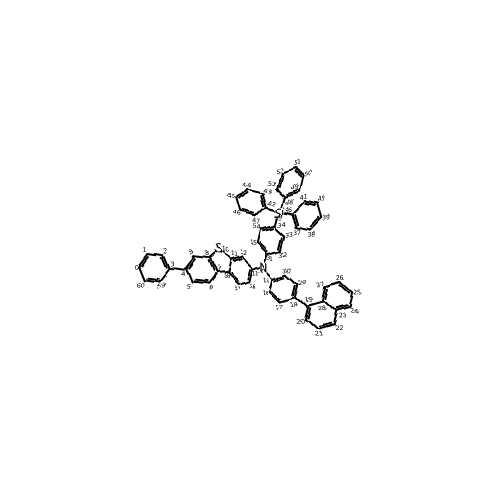 c1ccc(-c2ccc3c(c2)sc2cc(N(c4ccc(-c5cccc6ccccc56)cc4)c4ccc([Si](c5ccccc5)(c5ccccc5)c5ccccc5)cc4)ccc23)cc1